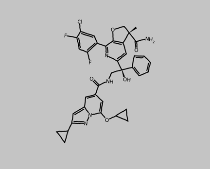 C[C@]1(C(N)=O)COc2c1cc([C@@](O)(CNC(=O)c1cc(OC3CC3)n3nc(C4CC4)cc3c1)c1ccccc1)nc2-c1cc(Cl)c(F)cc1F